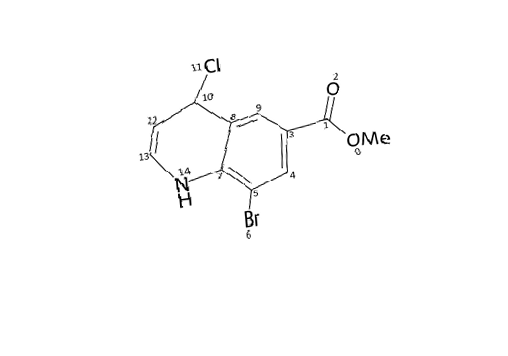 COC(=O)c1cc(Br)c2c(c1)C(Cl)C=CN2